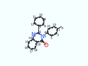 Cc1ccc(-n2c(-c3ccccc3)nc3ccccc3c2=O)cc1